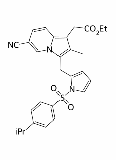 CCOC(=O)Cc1c(C)c(Cc2cccn2S(=O)(=O)c2ccc(C(C)C)cc2)n2cc(C#N)ccc12